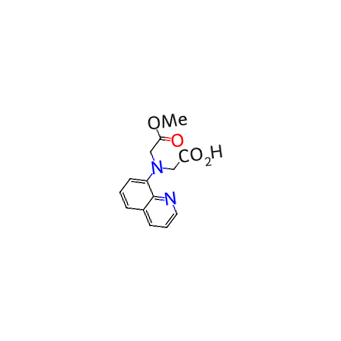 COC(=O)CN(CC(=O)O)c1cccc2cccnc12